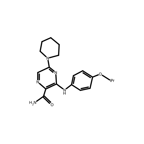 CC(C)Oc1ccc(Nc2nc(N3CCCCC3)cnc2C(N)=O)cc1